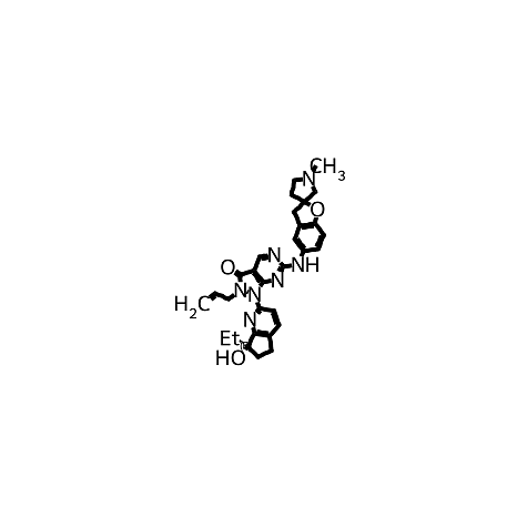 C=CCn1c(=O)c2cnc(Nc3ccc4c(c3)CC3(CCN(C)C3)O4)nc2n1-c1ccc2c(n1)[C@@](O)(CC)CC2